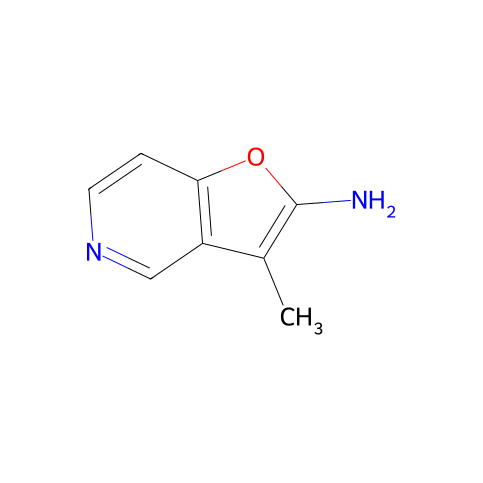 Cc1c(N)oc2ccncc12